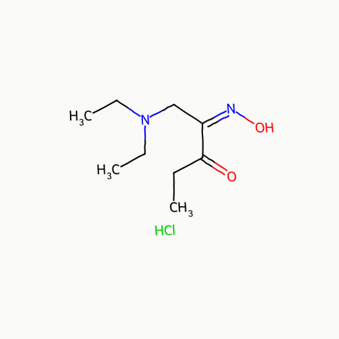 CCC(=O)/C(CN(CC)CC)=N\O.Cl